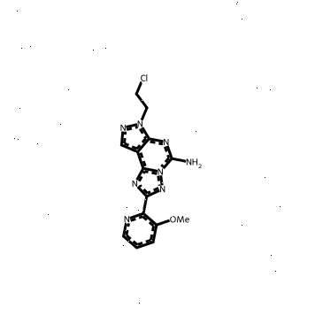 COc1cccnc1-c1nc2c3cnn(CCCl)c3nc(N)n2n1